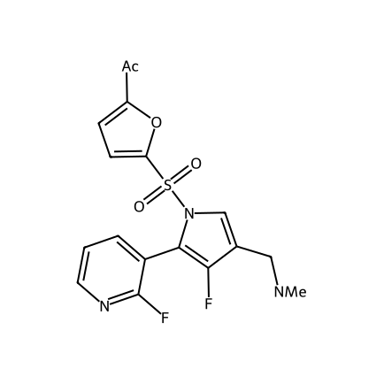 CNCc1cn(S(=O)(=O)c2ccc(C(C)=O)o2)c(-c2cccnc2F)c1F